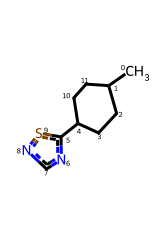 CC1CCC(c2ncns2)CC1